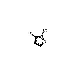 CCc1ccnn1CC